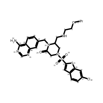 CC(C)OCCNCC1CN(S(=O)(=O)c2cc3ccc(Cl)cc3s2)CC(=O)N1Cc1ccc2c(N)ncnc2c1